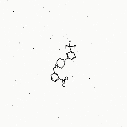 O=[N+]([O-])c1cccc(CN2CCN(c3cccc(C(F)(F)F)c3)CC2)c1